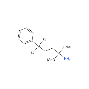 CC[Si](CC)(CCC(N)(OC)OC)c1ccccc1